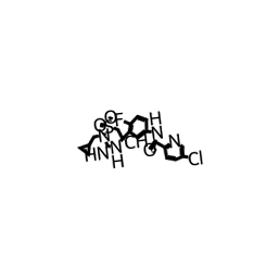 C[C@@]1(c2cc(NC(=O)c3ccc(Cl)cn3)ccc2F)CS(=O)(=O)N(CC2CC2)C(=N)N1